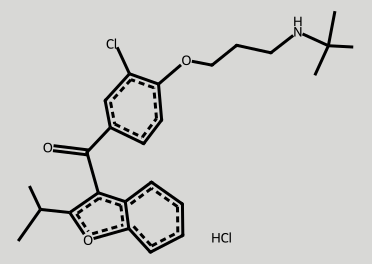 CC(C)c1oc2ccccc2c1C(=O)c1ccc(OCCCNC(C)(C)C)c(Cl)c1.Cl